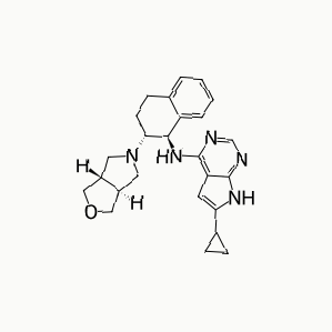 c1ccc2c(c1)CC[C@@H](N1C[C@H]3COC[C@@H]3C1)[C@@H]2Nc1ncnc2[nH]c(C3CC3)cc12